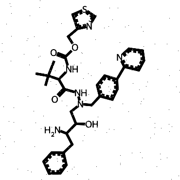 CC(C)(C)C(NC(=O)OCc1cscn1)C(=O)NN(Cc1ccc(-c2ccccn2)cc1)CC(O)C(N)Cc1ccccc1